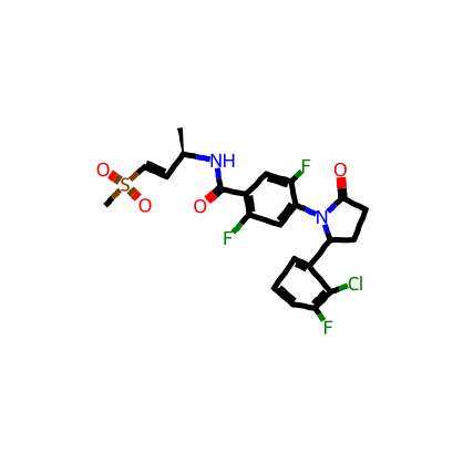 C[C@H](/C=C/S(C)(=O)=O)NC(=O)c1cc(F)c(N2C(=O)CCC2c2cccc(F)c2Cl)cc1F